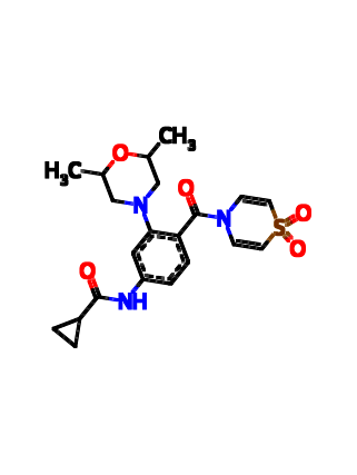 CC1CN(c2cc(NC(=O)C3CC3)ccc2C(=O)N2C=CS(=O)(=O)C=C2)CC(C)O1